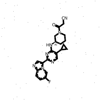 N#CCC(=O)N1CCC[C@@H](Nc2nc(-c3cnc4ccc(F)cn34)ncc2C2CC2)C1